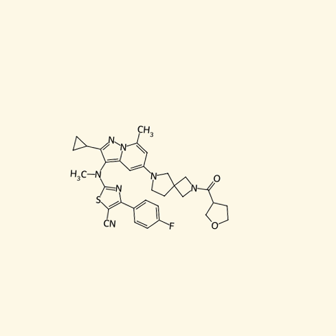 Cc1cc(N2CCC3(CN(C(=O)C4CCOC4)C3)C2)cc2c(N(C)c3nc(-c4ccc(F)cc4)c(C#N)s3)c(C3CC3)nn12